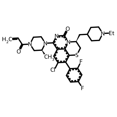 C=CC(=O)N1CCN(c2nc(=O)n3c4c(c(-c5ccc(F)cc5F)c(Cl)cc24)SC[C@@H]3CC2CCN(CC)CC2)[C@@H](C)C1